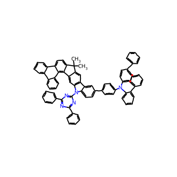 CC1(C)c2cc3c4cc(-c5ccc(N(c6ccc(-c7ccccc7)cc6)c6ccccc6-c6ccccc6)cc5)ccc4n(-c4nc(-c5ccccc5)nc(-c5ccccc5)n4)c3cc2-c2c1ccc1c3ccccc3c3ccccc3c21